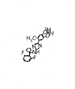 [2H]C1([2H])Oc2cc(C)c(-c3cnc(NC(=O)c4c(F)cccc4F)cn3)cc2O1